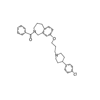 O=C(c1ccccc1)N1CCCc2ccc(OCCCN3CCC(c4ccc(Cl)cc4)CC3)cc2C1